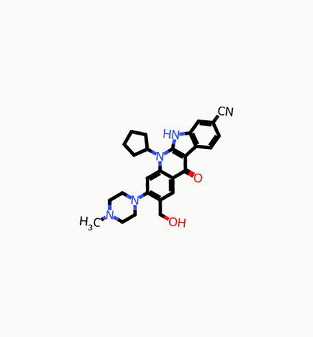 CN1CCN(c2cc3c(cc2CO)c(=O)c2c4ccc(C#N)cc4[nH]c2n3C2CCCC2)CC1